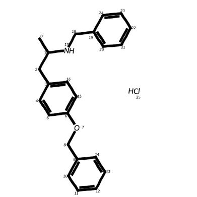 CC(Cc1ccc(OCc2ccccc2)cc1)NCc1ccccc1.Cl